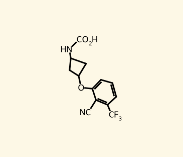 N#Cc1c(OC2CC(NC(=O)O)C2)cccc1C(F)(F)F